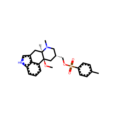 CO[C@]12C[C@@H](COS(=O)(=O)c3ccc(C)cc3)CN(C)[C@@H]1Cc1c[nH]c3cccc2c13